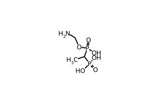 CC(P(=O)(O)O)P(=O)(O)OCN